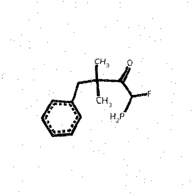 CC(C)(Cc1ccccc1)C(=O)C(F)P